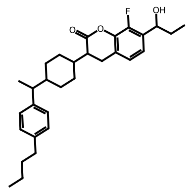 CCCCc1ccc(C(C)C2CCC(C3Cc4ccc(C(O)CC)c(F)c4OC3=O)CC2)cc1